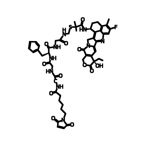 CC[C@@]1(O)C(=O)OCc2c1cc1n(c2=O)Cc2c-1nc1cc(F)c(C)c3c1c2[C@@H](NC(=O)C(C)(C)SCNC(=O)CNC(=O)[C@H](Cc1ccccc1)NC(=O)CNC(=O)CNC(=O)CCCCCN1C(=O)C=CC1=O)CC3